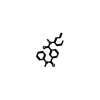 C=C/C=C(\C=C/C)N(C)C(=O)c1cccc(C(=O)N(C)c2ccccc2)c1